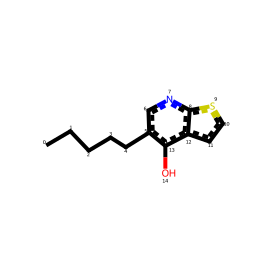 CCCCCc1cnc2sccc2c1O